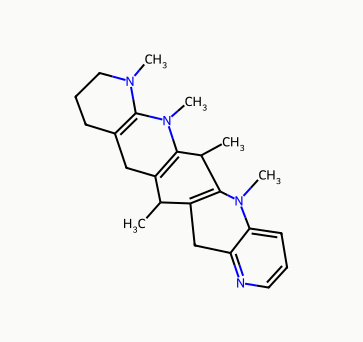 CC1C2=C(C(C)C3=C1Cc1ncccc1N3C)N(C)C1=C(CCCN1C)C2